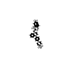 CS(=O)(=O)N1CCN(c2ccc(N3CCN(OC(=O)NC4[C@@H]5CC6C[C@H]4CC(O)(C6)C5)c4ccccc43)cc2)CC1